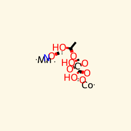 CC(=O)O.CO.O=C=O.O=CO.[C]=O.[Co].[Mn].[N].[O]